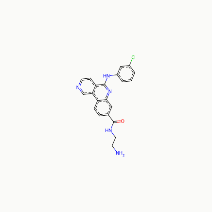 NCCNC(=O)c1ccc2c(c1)nc(Nc1cccc(Cl)c1)c1ccncc12